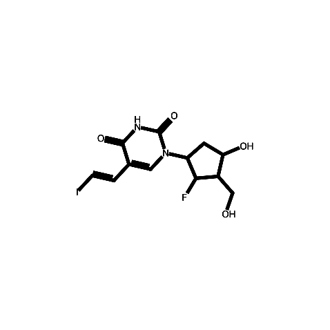 O=c1[nH]c(=O)n(C2CC(O)C(CO)C2F)cc1C=CI